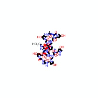 C[C@H](NC(=O)[C@@H]1C[C@@H](O)CN1)C(=O)NCC(=O)N1C[C@H](O)C[C@H]1C(=O)N[C@@H](C)C(=O)NCC(=O)N1C[C@H](O)C[C@H]1C(=O)N[C@@H](C)C(=O)NCC(=O)N1C[C@H](O)C[C@H]1C(=O)N[C@@H](C)C(=O)NCC(=O)N1C[C@H](O)C[C@H]1C(=O)N[C@@H](C)C(=O)NCC(=O)N1C[C@H](O)C[C@H]1C(=O)N[C@@H](C)C(=O)NCC(=O)N1C[C@H](O)C[C@H]1C(=O)N[C@@H](C)C(=O)NCC(=O)O